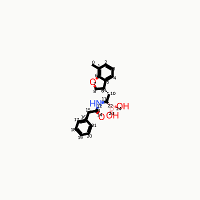 Cc1cccc2c1OC[C@H]2CC(NC(=O)Cc1ccccc1)B(O)O